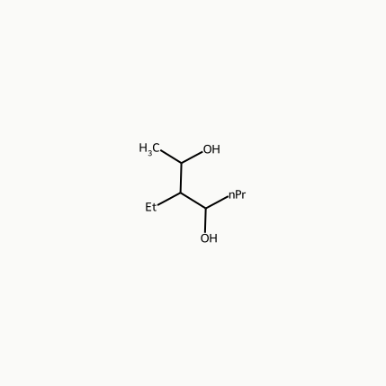 CCCC(O)C(CC)C(C)O